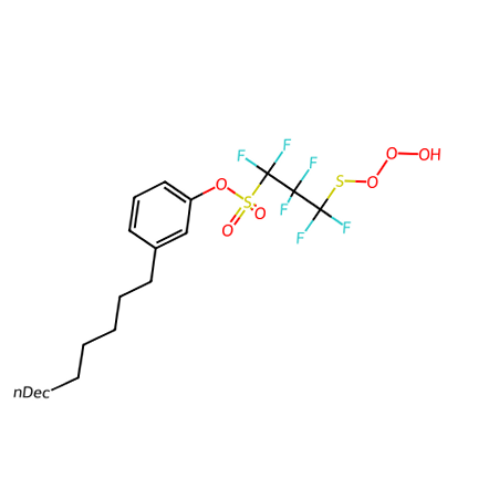 CCCCCCCCCCCCCCCc1cccc(OS(=O)(=O)C(F)(F)C(F)(F)C(F)(F)SOOO)c1